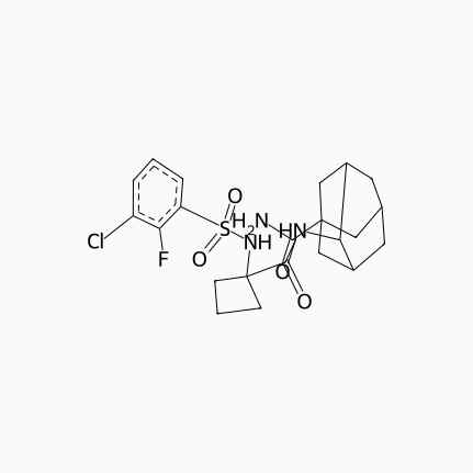 NC(=O)C12CC3CC(C1)C(NC(=O)C1(NS(=O)(=O)c4cccc(Cl)c4F)CCC1)C(C3)C2